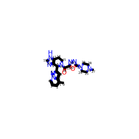 Cc1cccn2nc(C3c4nc[nH]c4CCN3C(=O)c3nnc(N4CCN(C)CC4)o3)cc12